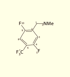 CNCc1cc(F)c(C(F)(F)F)cc1F